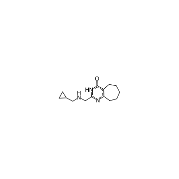 O=c1[nH]c(CNCC2CC2)nc2c1CCCCC2